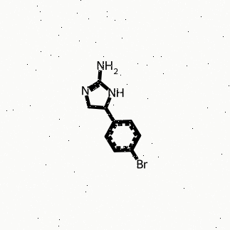 NC1=NCC(c2ccc(Br)cc2)N1